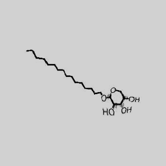 CCCCCCCCCCCCCCCCO[C@H]1OC[C@@H](O)[C@H](O)[C@H]1O